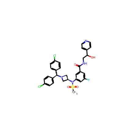 CS(=O)(=O)N(c1cc(F)cc(C(=O)NCC(O)c2ccncc2)c1)C1CN(C(c2ccc(Cl)cc2)c2ccc(Cl)cc2)C1